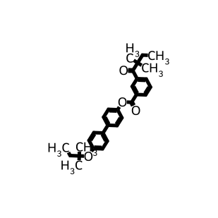 CCC(C)(C)Oc1ccc(-c2ccc(OC(=O)c3cccc(C(=O)C(C)(C)CC)c3)cc2)cc1